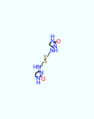 O=c1nc(NCCSSCCNc2cc[nH]c(=O)n2)cc[nH]1